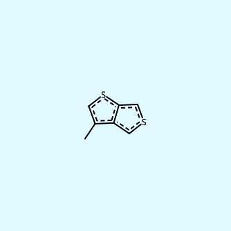 Cc1csc2cscc12